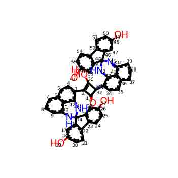 O=C1C(c2ccc3cccc4c3c2NC2(N4)c3cc(O)ccc3-c3ccc(O)cc32)=C(O)/C1=c1/ccc2cccc3c2c1NC1(N=3)c2cc(O)ccc2-c2ccc(O)cc21